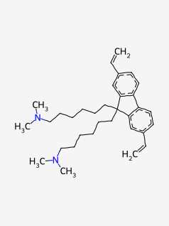 C=Cc1ccc2c(c1)C(CCCCCCN(C)C)(CCCCCCN(C)C)c1cc(C=C)ccc1-2